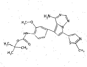 COc1cc(-c2cc(-c3cnc(C)s3)n3ncnc(N)c23)ccc1NC(=O)OC(C)(C)C